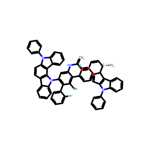 C=C(/C=C\C=C/[C@H](C)C1C=Cc2c1c1ccccc1n2-c1ccccc1)Nc1cc(-n2c3ccccc3c3ccc4c(c5ccccc5n4-c4ccccc4)c32)c(-c2ccccc2F)c(C(C)C)c1-c1ccccc1F